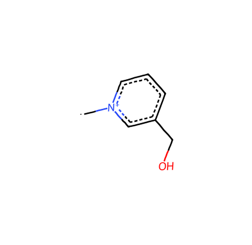 [CH2][n+]1cccc(CO)c1